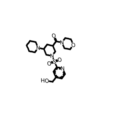 O=C(C1CC(N2CCCCC2)CN(S(=O)(=O)c2cc(CO)ccn2)C1)N1CCOCC1